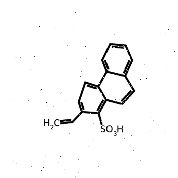 C=Cc1ccc2c(ccc3ccccc32)c1S(=O)(=O)O